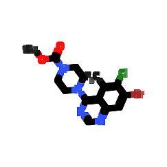 CC(C)(C)OC(=O)N1CCN(c2ncnc3cc(Br)c(Cl)c(C(F)(F)F)c23)CC1